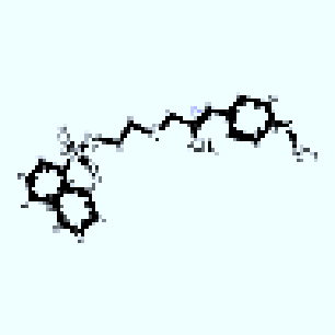 CSc1ccc(/C=C(\C)CNCCNS(=O)(=O)c2cccc3cnccc23)cc1